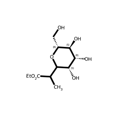 CCOC(=O)C(C)C1O[C@H](CO)[C@@H](O)[C@H](O)[C@@H]1O